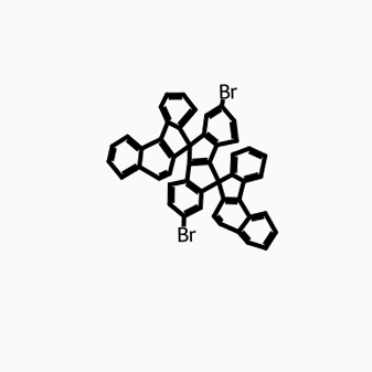 Brc1ccc2c(c1)C1(C3=C2C2(c4cc(Br)ccc43)c3ccccc3-c3c2ccc2ccccc32)c2ccccc2-c2c1ccc1ccccc21